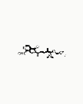 CC(/C=C/C(C)N1Cc2c(ccnc2C=O)C1=O)=C(\OCC(F)(F)F)N(C)C